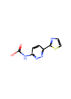 O=C(O)Nc1ccc(-c2nccs2)nn1